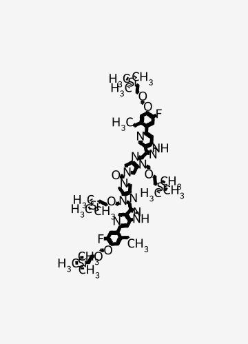 CCc1cc(OCOCC[Si](C)(C)C)c(F)cc1-c1cc2[nH]nc(-c3nc4c(n3COCC[Si](C)(C)C)CN(C(=O)N3Cc5nc(-c6n[nH]c7cc(-c8cc(F)c(OCOCC[Si](C)(C)C)cc8CC)ncc67)n(COCC[Si](C)(C)C)c5C3)C4)c2cn1